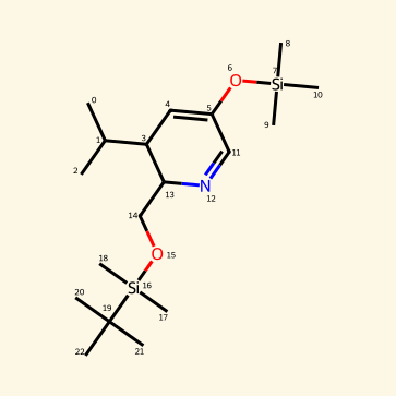 CC(C)C1C=C(O[Si](C)(C)C)C=NC1CO[Si](C)(C)C(C)(C)C